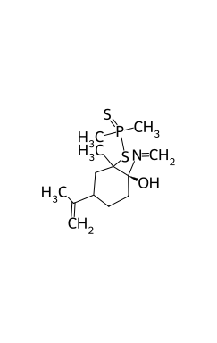 C=N[C@]1(O)CCC(C(=C)C)CC1(C)SP(C)(C)=S